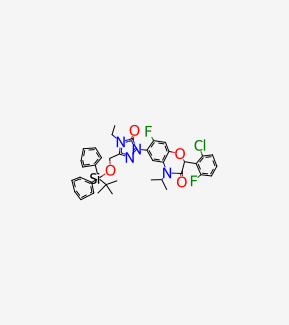 CCn1c(CO[Si](c2ccccc2)(c2ccccc2)C(C)(C)C)nn(-c2cc3c(cc2F)OC(c2c(F)cccc2Cl)C(=O)N3C(C)C)c1=O